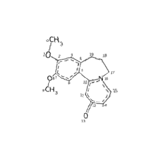 COc1cc2c(cc1OC)-c1cc(=O)ccn1CCC2